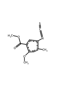 COC(=O)c1cc(N=C=S)c(C)cc1OC